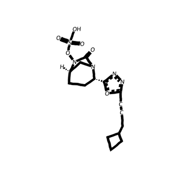 O=C1N2C[C@@H](CC[C@H]2c2nnc(CCCC3CCC3)o2)N1OS(=O)(=O)O